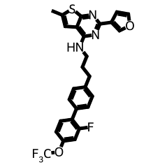 Cc1cc2c(NCCCc3ccc(-c4ccc(OC(F)(F)F)cc4F)cc3)nc(-c3ccoc3)nc2s1